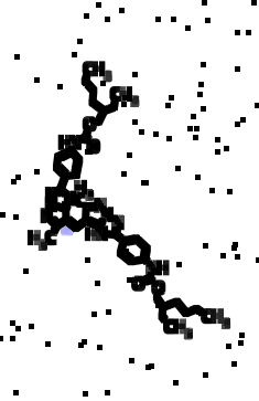 CCCCC(CC)COC(=O)Nc1ccc(-c2nc3/c(=C\c4c(C)nn5nc(-c6ccc(NC(=O)OCC(CC)CCCC)cc6)[nH]c45)c(C)nn3n2)cc1